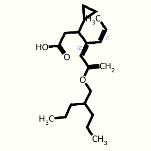 C=C(/C=C(\C=C/C)C(CC(=O)O)C1CC1)OCC(CCC)CCC